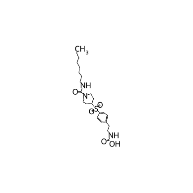 CCCCCCCCNC(=O)N1CCC(S(=O)(=O)c2ccc(CCNC(=O)O)cc2)CC1